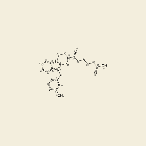 Cc1cccc(Cn2c3c(c4ccccc42)CCN(C(=O)CCCCC(=O)O)C3)c1